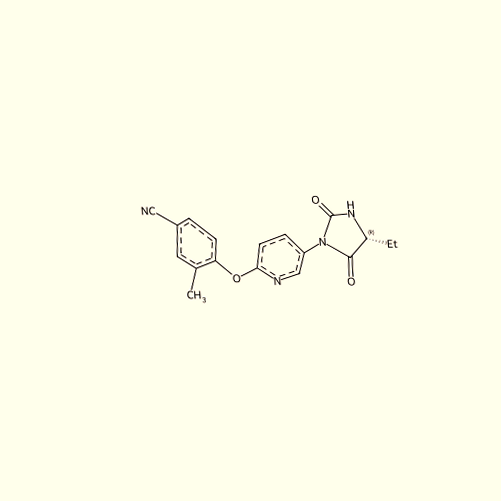 CC[C@H]1NC(=O)N(c2ccc(Oc3ccc(C#N)cc3C)nc2)C1=O